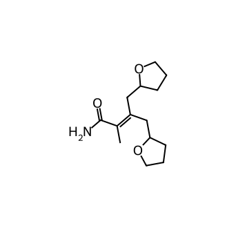 CC(C(N)=O)=C(CC1CCCO1)CC1CCCO1